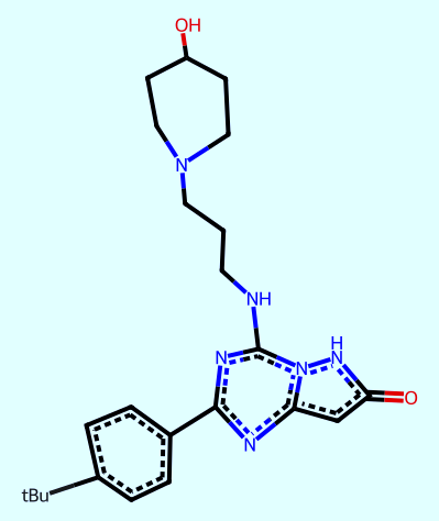 CC(C)(C)c1ccc(-c2nc(NCCCN3CCC(O)CC3)n3[nH]c(=O)cc3n2)cc1